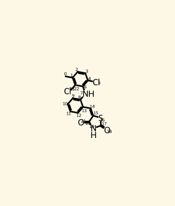 Cc1ccc(Cl)c(Nc2ccccc2C=C2SC(=O)NC2=O)c1Cl